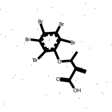 C=C(C(=O)O)C(C)Oc1c(Br)c(Br)c(Br)c(Br)c1Br